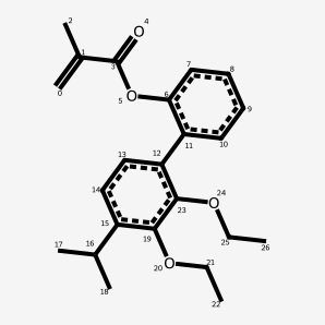 C=C(C)C(=O)Oc1ccccc1-c1ccc(C(C)C)c(OCC)c1OCC